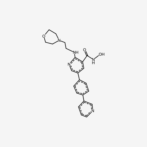 O=C(NO)c1cc(-c2ccc(-c3cccnc3)cc2)cnc1NCCN1CCOCC1